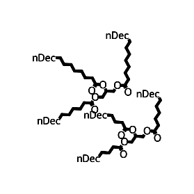 CCCCCCCCCCCCCCCC(=O)OCC(COC(=O)CCCCCCCCCCCCC)OC(=O)CCCCCCCCCCCCC.CCCCCCCCCCCCCCCCCC(=O)OCC(COC(=O)CCCCCCCCCCCCCCC)OC(=O)CCCCCCCCCCCCCCCCC